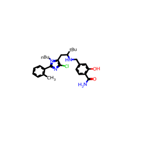 CCCCn1c(-c2ccccc2C)nc(Cl)c1CC(NCc1ccc(C(N)=O)c(O)c1)C(C)(C)C